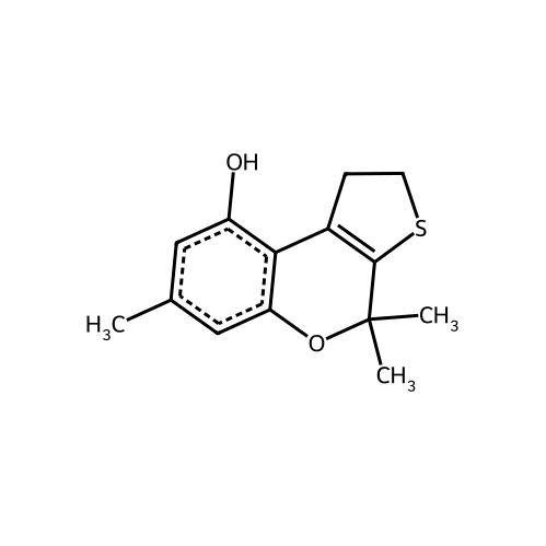 Cc1cc(O)c2c(c1)OC(C)(C)C1=C2CCS1